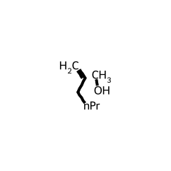 C=CCCCC.CO